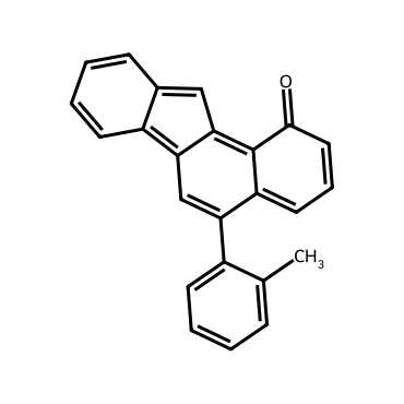 Cc1ccccc1-c1cc2c(c3c1=CC=CC3=O)C=c1ccccc1=2